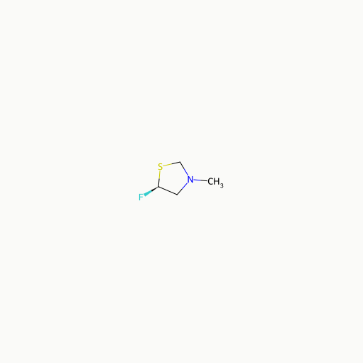 CN1CS[C@H](F)C1